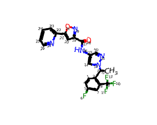 CC(c1ccc(F)cc1C(F)(F)F)n1cc(NC(=O)c2cc(-c3ccccn3)on2)cn1